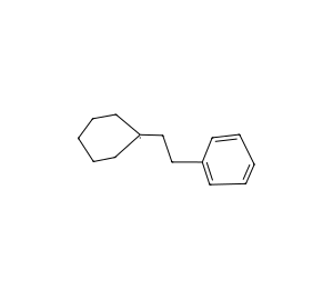 c1ccc(CC[C]2CCCCC2)cc1